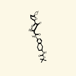 CC(C)(C)OC(=O)NC1CCc2cc(NC(=O)c3[nH]nc(-c4ccc(Cl)o4)c3Cl)ccc2C1